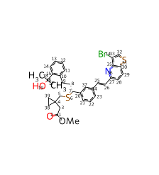 COC(=O)CC1(CS[C@H](CCc2ccccc2C(C)(C)O)c2cccc(C=Cc3ccc4scc(Br)c4n3)c2)CC1